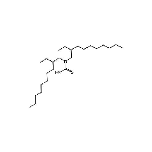 CCCCCCCCC(CC)CN(CC(CC)CCCCCCCC)C(=S)S